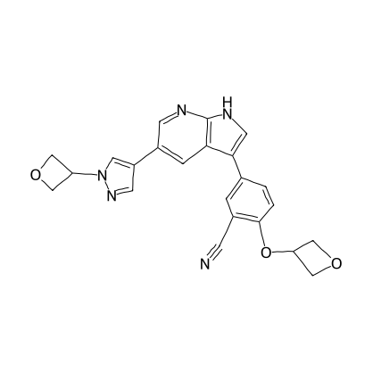 N#Cc1cc(-c2c[nH]c3ncc(-c4cnn(C5COC5)c4)cc23)ccc1OC1COC1